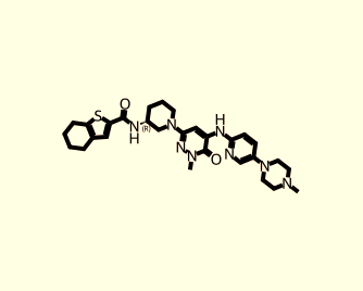 CN1CCN(c2ccc(Nc3cc(N4CCC[C@@H](NC(=O)c5cc6c(s5)CCCC6)C4)nn(C)c3=O)nc2)CC1